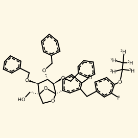 [2H]C([2H])([2H])C([2H])([2H])Oc1ccc(Cc2cc([C@]34OC[C@](CO)(O3)[C@@H](OCc3ccccc3)[C@H](OCc3ccccc3)[C@H]4OCc3ccccc3)ccc2Cl)cc1F